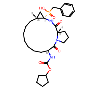 O=C(N[C@H]1CCCCCCC[C@@H]2C[C@@]2(P(=O)(O)Cc2ccccc2)NC(=O)[C@@H]2CCCN2C1=O)OC1CCCC1